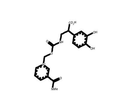 CNC(=O)c1ccc[n+](COC(=O)NCC(C(=O)O)c2ccc(O)c(O)c2)c1